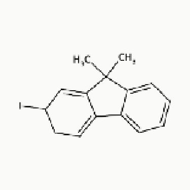 CC1(C)C2=CC(I)CC=C2c2ccccc21